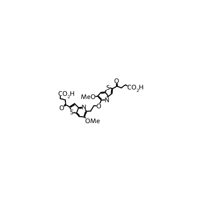 COc1cc2sc(C(=O)CCC(=O)O)cc2nc1CCOc1nc2cc(C(=O)CCC(=O)O)sc2cc1OC